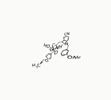 CC#CCOc1ccc(S(=O)(=O)NC(Cc2cn(Cc3cccc(OC)c3)c3ccc(C#N)cc23)C(=O)O)cc1